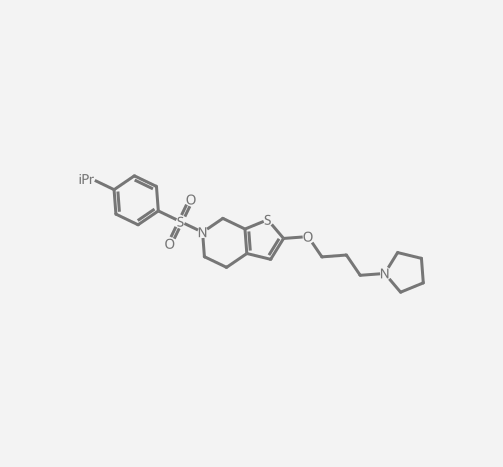 CC(C)c1ccc(S(=O)(=O)N2CCc3cc(OCCCN4CCCC4)sc3C2)cc1